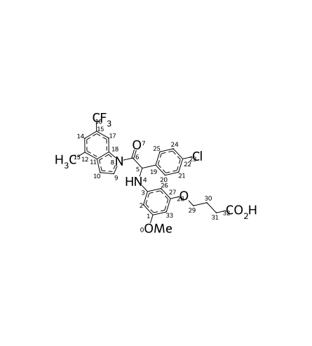 COc1cc(NC(C(=O)n2ccc3c(C)cc(C(F)(F)F)cc32)c2ccc(Cl)cc2)cc(OCCCC(=O)O)c1